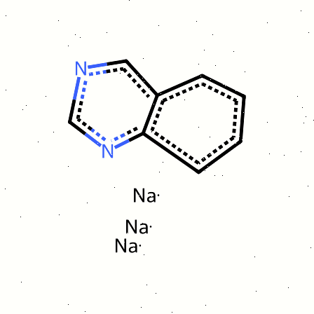 [Na].[Na].[Na].c1ccc2ncncc2c1